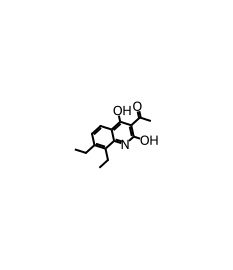 CCc1ccc2c(O)c(C(C)=O)c(O)nc2c1CC